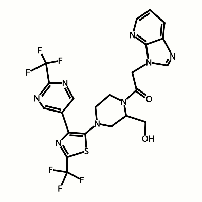 O=C(Cn1cnc2cccnc21)N1CCN(c2sc(C(F)(F)F)nc2-c2cnc(C(F)(F)F)nc2)CC1CO